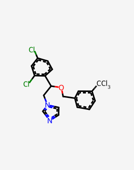 Clc1ccc(C(Cn2ccnc2)OCc2cccc(C(Cl)(Cl)Cl)c2)c(Cl)c1